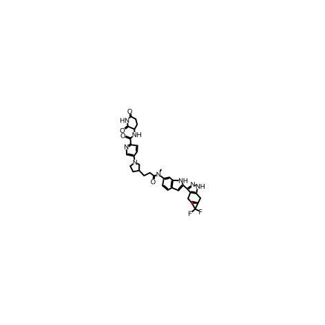 CN(C(=O)CCC1CCN(c2ccc(C(=O)NC3CCC(=O)NC3=O)nc2)C1)c1ccc2cc(-c3n[nH]c4c3CC3C(F)(F)C3(C)C4)[nH]c2c1